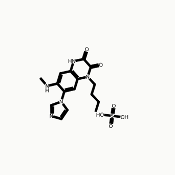 CCCCn1c(=O)c(=O)[nH]c2cc(NC)c(-n3ccnc3)cc21.O=S(=O)(O)O